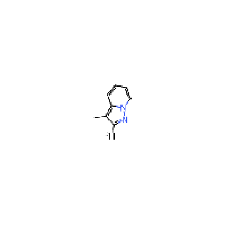 [2H]c1nn2ccccc2c1C